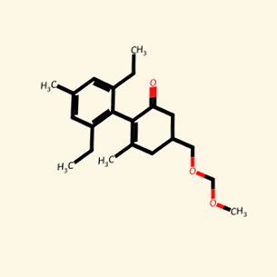 CCc1cc(C)cc(CC)c1C1=C(C)CC(COCOC)CC1=O